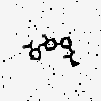 N#Cc1cc(-c2cc(NC(=O)C3CC3)ncn2)ccc1O[C@H]1CCNC[C@H]1C(=O)F